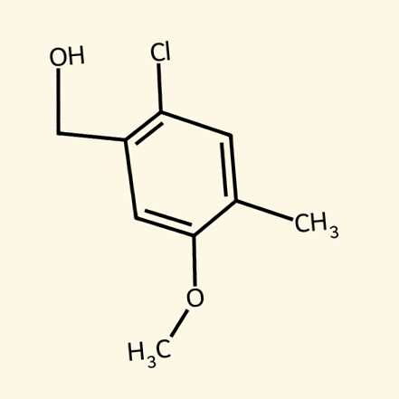 COc1cc(CO)c(Cl)cc1C